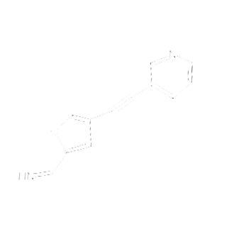 N=Cc1cc(C#Cc2cccnc2)co1